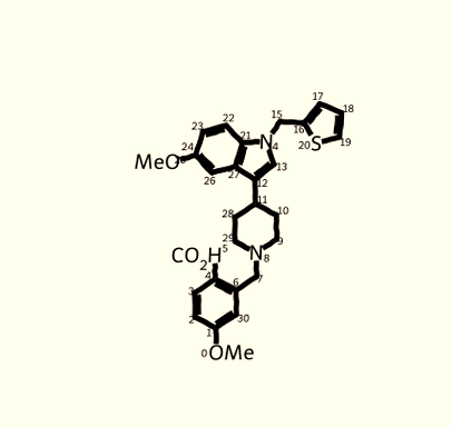 COc1ccc(C(=O)O)c(CN2CCC(c3cn(Cc4cccs4)c4ccc(OC)cc34)CC2)c1